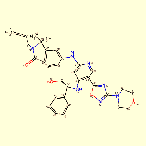 C=CCN1C(=O)c2ccc(Nc3cc(N[C@H](CO)c4ccccc4)c(-c4nc(N5CCOCC5)no4)cn3)cc2C1(C)C